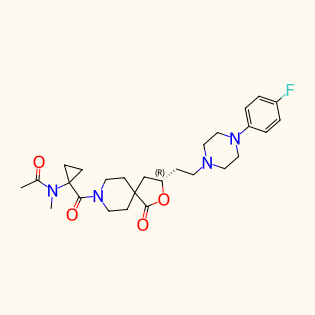 CC(=O)N(C)C1(C(=O)N2CCC3(CC2)C[C@H](CCN2CCN(c4ccc(F)cc4)CC2)OC3=O)CC1